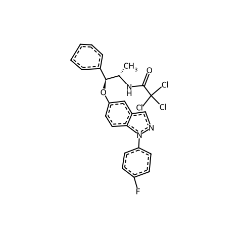 C[C@H](NC(=O)C(Cl)(Cl)Cl)[C@@H](Oc1ccc2c(cnn2-c2ccc(F)cc2)c1)c1ccccc1